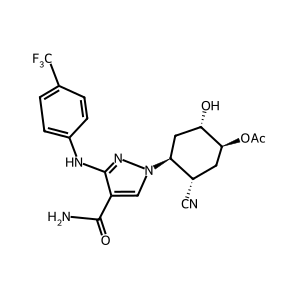 CC(=O)O[C@H]1C[C@H](C#N)[C@@H](n2cc(C(N)=O)c(Nc3ccc(C(F)(F)F)cc3)n2)C[C@@H]1O